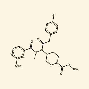 CSc1nccc(C(=O)N(C)N(C(=O)Cc2ccc(F)cc2)C2CCN(C(=O)OC(C)(C)C)CC2)n1